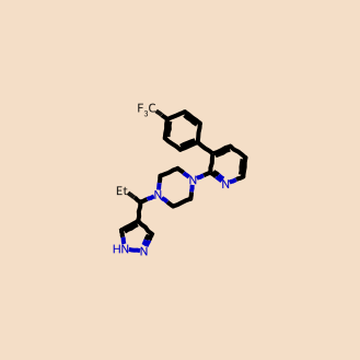 CCC(c1cn[nH]c1)N1CCN(c2ncccc2-c2ccc(C(F)(F)F)cc2)CC1